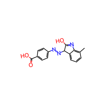 Cc1cccc2c1N=C(O)C2/N=N/c1ccc(C(=O)O)cc1